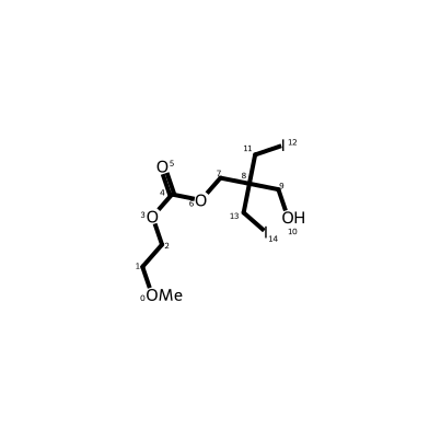 COCCOC(=O)OCC(CO)(CI)CI